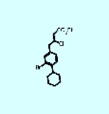 CCOC(=O)CC(Cl)Cc1ccc(C2CCCCC2)c(Br)c1